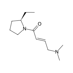 CC[C@@H]1CCCN1C(=O)/C=C/CN(C)C